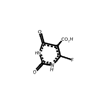 O=C(O)c1c(F)[nH]c(=O)[nH]c1=O